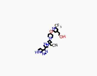 N#CCC1(n2cc(-c3ncnc4[nH]ccc34)cn2)CC(N2CCC(Oc3cc(CCO)cc(C(F)(F)F)n3)CC2)C1